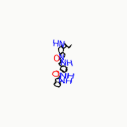 CCc1c[nH]c2ccc3c(c12)CCN3C(=O)c1cc2cc(NC(=O)c3cc4ccccc4[nH]3)ccc2[nH]1